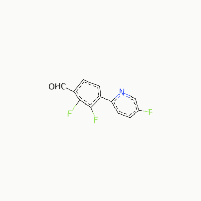 O=Cc1ccc(-c2ccc(F)cn2)c(F)c1F